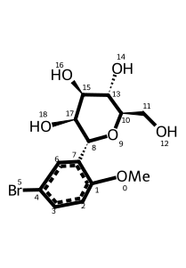 COc1ccc(Br)cc1[C@H]1O[C@H](CO)[C@@H](O)[C@H](O)[C@@H]1O